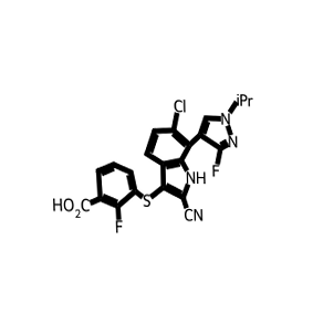 CC(C)n1cc(-c2c(Cl)ccc3c(Sc4cccc(C(=O)O)c4F)c(C#N)[nH]c23)c(F)n1